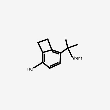 CCCCCC(C)(C)c1ccc(O)c2c1CC2